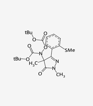 CSc1ccccc1C1=NN(C)C(=O)C1(C)N(OC(=O)OC(C)(C)C)C(=O)OC(C)(C)C